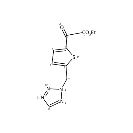 CCOC(=O)C(=O)c1ccc(Cn2ncnn2)s1